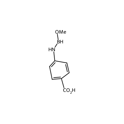 COBNc1ccc(C(=O)O)cc1